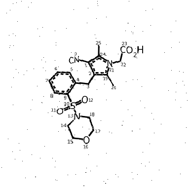 [C-]#[N+]c1c(Cc2ccccc2S(=O)(=O)N2CCOCC2)c(C)n(CC(=O)O)c1C